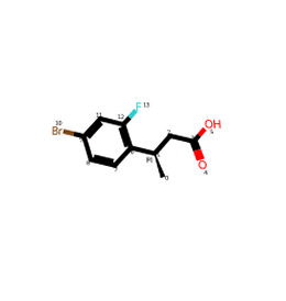 C[C@H](CC(=O)O)c1ccc(Br)cc1F